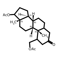 CC(=O)OCC1CC(=O)CC2CC[C@@H]3[C@@H](CC[C@]4(C)C(OC(C)=O)CC[C@@H]34)[C@]21C